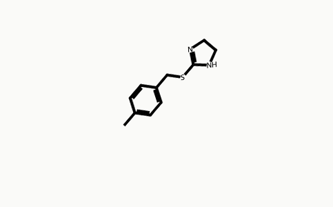 Cc1ccc(CSC2=NCCN2)cc1